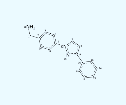 NCc1ccc(-n2ccc(-c3ccccc3)n2)cc1